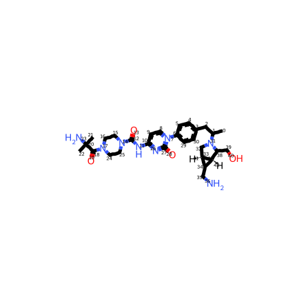 CC(Cc1ccc(-n2ccc(NC(=O)N3CCN(C(=O)C(C)(C)N)CC3)nc2=O)cc1)N1C[C@@H]2C(CN)[C@@H]2C1CO